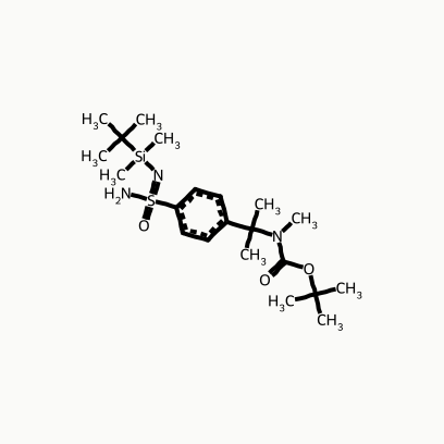 CN(C(=O)OC(C)(C)C)C(C)(C)c1ccc(S(N)(=O)=N[Si](C)(C)C(C)(C)C)cc1